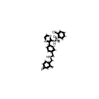 O=S(=O)(Nc1nccnc1-c1ccc(CNCc2ccc(F)cc2F)cc1)c1ccccc1Cl